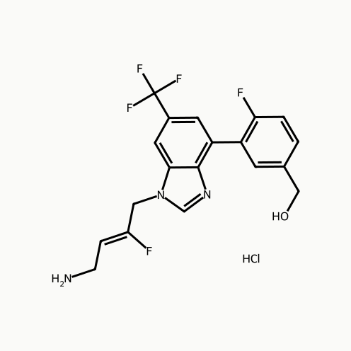 Cl.NCC=C(F)Cn1cnc2c(-c3cc(CO)ccc3F)cc(C(F)(F)F)cc21